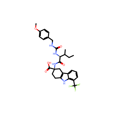 CCC(C)[C@H](NC(=O)NCc1ccc(OC)cc1)C(=O)N[C@]1(C(=O)O)CCc2[nH]c3c(C(F)(F)F)cccc3c2C1